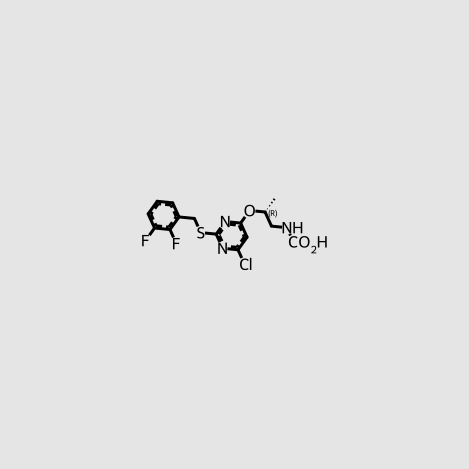 C[C@H](CNC(=O)O)Oc1cc(Cl)nc(SCc2cccc(F)c2F)n1